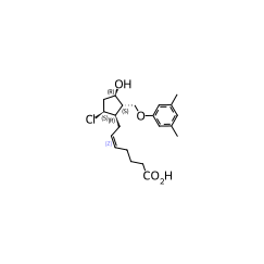 Cc1cc(C)cc(OC[C@@H]2[C@@H](C/C=C\CCCC(=O)O)[C@@H](Cl)C[C@H]2O)c1